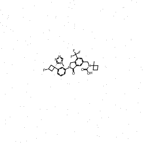 Cn1cnnc1[C@]1(c2cccc(N3Cc4c(cc(CN(C(=O)O)C5(C)CCC5)cc4C(F)(F)F)C3=O)c2)C[C@@H](F)C1